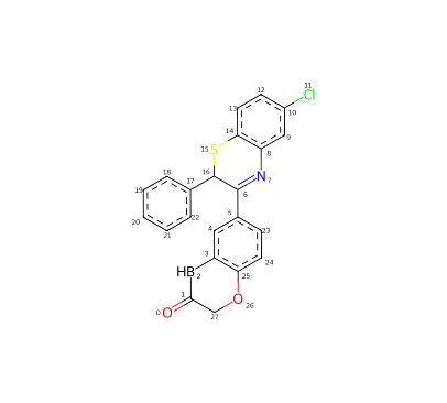 O=C1Bc2cc(C3=Nc4cc(Cl)ccc4SC3c3ccccc3)ccc2OC1